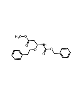 COC(=O)CC(NC(=O)OCc1ccccc1)OCCc1ccccc1